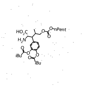 CCCCCOC(=O)OCC(C)C(c1ccc(OC(=O)C(C)CC)c(OC(=O)C(C)CC)c1)[C@H](N)C(=O)O